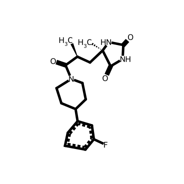 C[C@@H](C[C@@]1(C)NC(=O)NC1=O)C(=O)N1CCC(c2cccc(F)c2)CC1